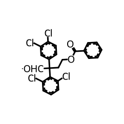 O=[C]C(CCOC(=O)c1ccccc1)(c1ccc(Cl)c(Cl)c1)c1c(Cl)cccc1Cl